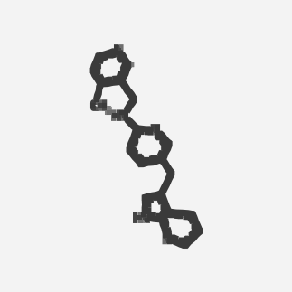 Cc1ccn[c]c1CNc1ccc(Cc2c[nH]c3ncccc23)cn1